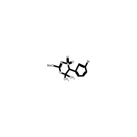 COC1=NS(=O)(=O)C(c2cccc(Br)c2)C(C)(C)O1